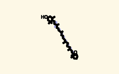 CC1=C(/C=C/C(C)=C/C=C/C(C)=C/C=C/C=C(C)/C=C/C=C(C)/C=C/C23OC2(C)CCCC3(C)C)C(C)(C)CC(O)C1